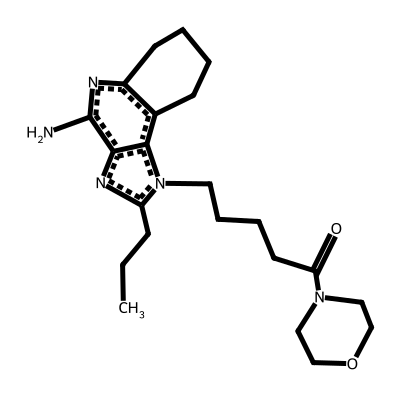 CCCc1nc2c(N)nc3c(c2n1CCCCC(=O)N1CCOCC1)CCCC3